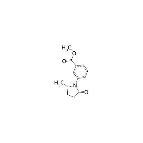 COC(=O)c1cccc(N2C(=O)CCC2C)c1